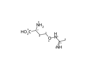 CC(=N)NOCCC(N)C(=O)O